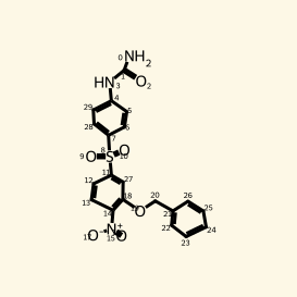 NC(=O)Nc1ccc(S(=O)(=O)c2ccc([N+](=O)[O-])c(OCc3ccccc3)c2)cc1